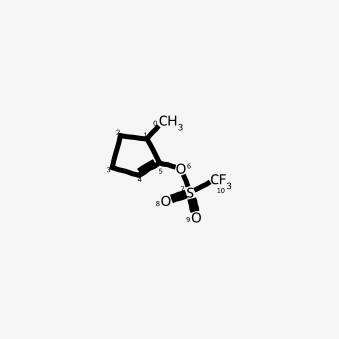 CC1CCC=C1OS(=O)(=O)C(F)(F)F